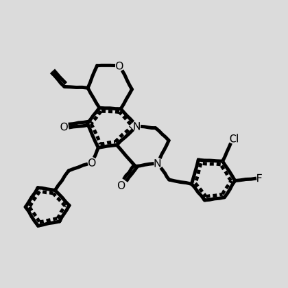 C=CC1COCc2c1c(=O)c(OCc1ccccc1)c1n2CCN(Cc2ccc(F)c(Cl)c2)C1=O